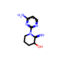 N=C1C(O)CCCN1c1nccc(N)n1